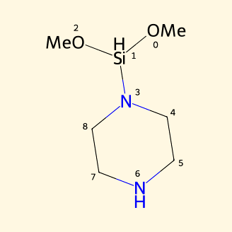 CO[SiH](OC)N1CCNCC1